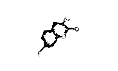 CC(=O)c1cc2ccc(F)cc2oc1=O